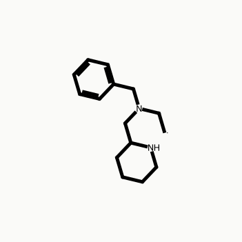 [CH2]CN(Cc1ccccc1)CC1CCCCN1